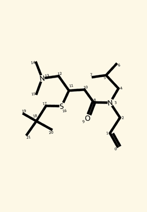 C=CCN(CC(C)C)C(=O)CC(CN(C)C)SCC(C)(C)C